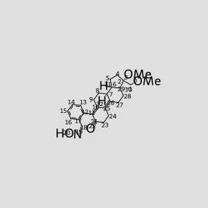 COC[C@]1(OC)CC[C@H]2[C@@H]3CCC4=C(c5ccccc5/C=N\O)C(=O)CCC4=C3CC[C@@]21C